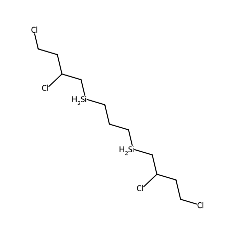 ClCCC(Cl)C[SiH2]CCC[SiH2]CC(Cl)CCCl